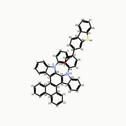 c1ccc(-n2c3ccccc3c3c4c5ccccc5c5ccccc5c4c4c5ccccc5n(-c5ccc(-c6ccc7c(c6)sc6ccccc67)cc5)c4c32)cc1